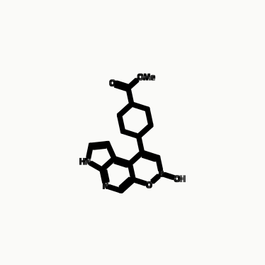 COC(=O)C1CCC(C2=CB(O)Oc3cnc4[nH]ccc4c32)CC1